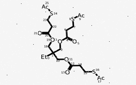 CCC(COC(=O)CCSC(C)=O)(COC(=O)CCSC(C)=O)COC(=O)CCSC(C)=O